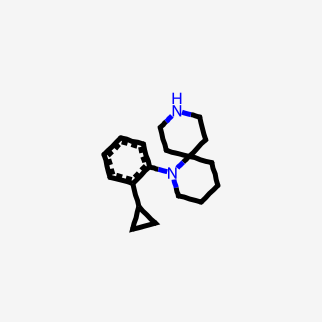 c1ccc(N2CCCCC23CCNCC3)c(C2CC2)c1